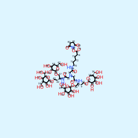 O=C(CN(CC(=O)N[C@H](CCOC1OC[C@H](CO)[C@@H](O)[C@H](O)[C@@H]1O)CO[C@H]1O[C@H](CO)[C@@H](O)[C@H](O)[C@@H]1O)CC(=O)N[C@H](CCO[C@H]1O[C@H](CO)[C@@H](O)[C@H](CO)[C@@H]1O)CO[C@H]1O[C@H](CO)C[C@H](O)[C@@H]1O)NCCCCCC(=O)ON1C(=O)CCC1=O